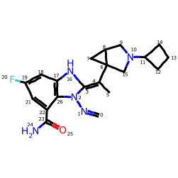 C=NN1/C(=C(\C)C23CC2CN(C2CCC2)C3)Nc2cc(F)cc(C(N)=O)c21